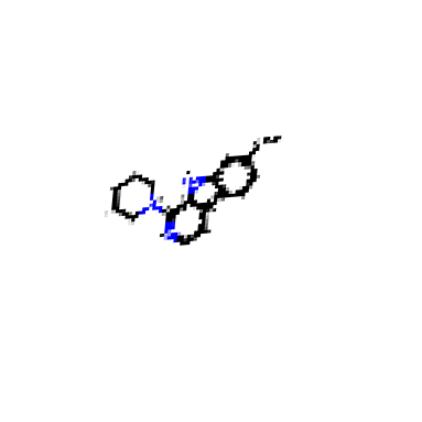 COc1ccc2c(c1)[nH]c1c(N3CCCCC3)nccc12